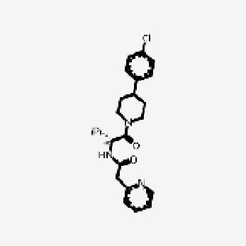 CC(C)[C@@H](NC(=O)Cc1ccccn1)C(=O)N1CCC(c2ccc(Cl)cc2)CC1